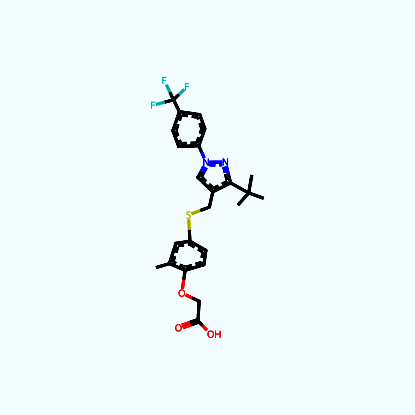 Cc1cc(SCc2cn(-c3ccc(C(F)(F)F)cc3)nc2C(C)(C)C)ccc1OCC(=O)O